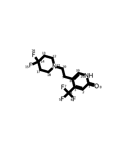 O=c1cc(C(F)(F)F)c(CCN2CCC(F)(F)CC2)c[nH]1